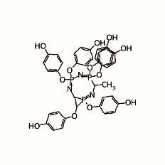 CC1N=P2(Oc3ccc(O)cc3)C(N=P(Oc3ccc(O)cc3)(Oc3ccc(O)cc3)N=P1(Oc1ccc(O)cc1)Oc1ccc(O)cc1)C2Oc1ccc(O)cc1